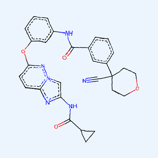 N#CC1(c2cccc(C(=O)Nc3cccc(Oc4ccc5nc(NC(=O)C6CC6)cn5n4)c3)c2)CCOCC1